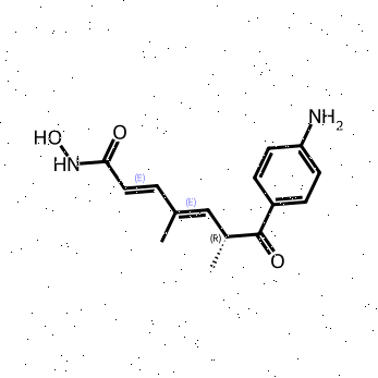 CC(/C=C/C(=O)NO)=C\[C@@H](C)C(=O)c1ccc(N)cc1